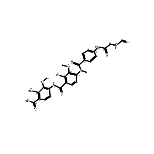 COc1c(NC(=O)c2ccc(N(C)C(=O)c3ccc(NC(=O)CNC=O)cc3)c(OC)c2O)ccc(C(=O)O)c1O